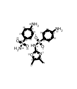 Cc1nc(NS(=O)(=O)c2ccc(N)cc2)oc1C.Nc1ccc(S(N)(=O)=O)cc1